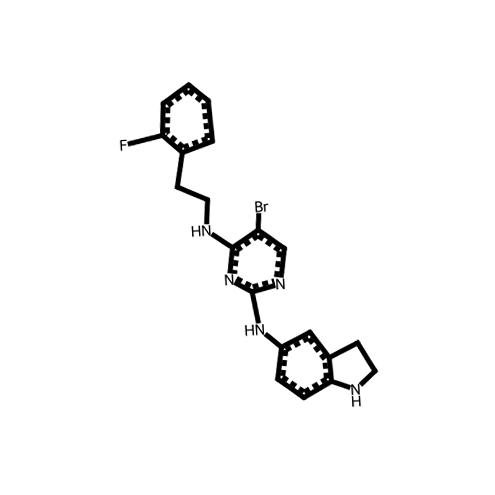 Fc1ccccc1CCNc1nc(Nc2ccc3c(c2)CCN3)ncc1Br